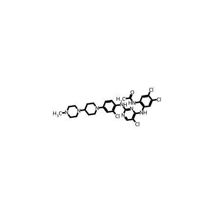 CC(=O)Nc1cc(Cl)c(Cl)cc1Nc1nc(Nc2ccc(N3CCC(N4CCN(C)CC4)CC3)cc2Cl)ncc1Cl